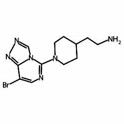 NCCC1CCN(c2ncc(Br)c3nncn23)CC1